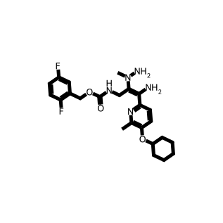 Cc1nc(/C(N)=C(\CNC(=O)OCc2cc(F)ccc2F)N(C)N)ccc1OC1CCCCC1